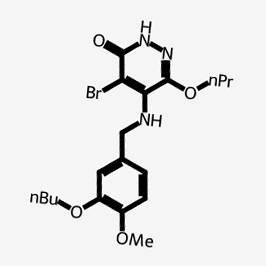 CCCCOc1cc(CNc2c(OCCC)n[nH]c(=O)c2Br)ccc1OC